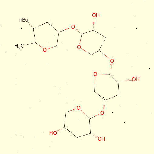 CCCC[C@@H]1CC(O[C@H]2OCC(O[C@H]3OC[C@@H](OC4OC[C@@H](O)C[C@H]4O)C[C@H]3O)C[C@H]2O)COC1C